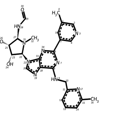 Cc1cncc(-c2nc(NCc3cccc(C)n3)c3ncn([C@H]4[C@H](O)[C@H](O)[C@@H](NC=O)N4C)c3n2)c1